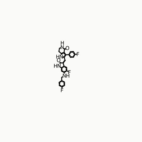 O=C1Nc2cc(NCc3ccc(F)cc3)c(F)cc2C1=Cc1[nH]c2c(c1-c1ccc(F)cc1)C(=O)NCC2